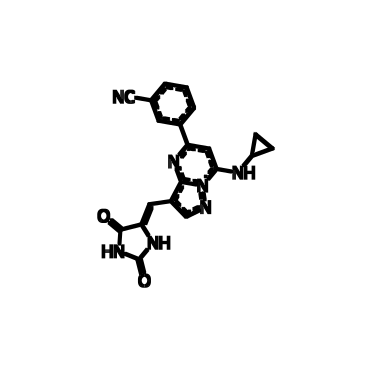 N#Cc1cccc(-c2cc(NC3CC3)n3ncc(C=C4NC(=O)NC4=O)c3n2)c1